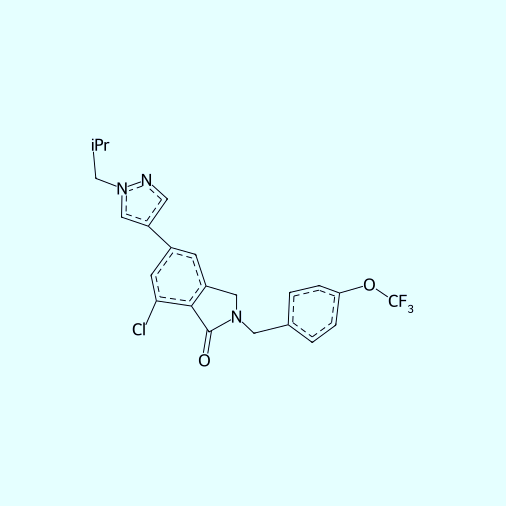 CC(C)Cn1cc(-c2cc(Cl)c3c(c2)CN(Cc2ccc(OC(F)(F)F)cc2)C3=O)cn1